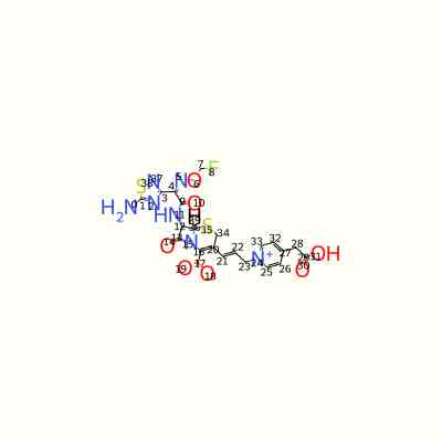 Nc1nc(/C(=N/OCF)C(=O)N[C@@H]2C(=O)N3C(C(=O)[O-])=C(/C=C/C[n+]4ccc(CC(=O)O)cc4)CS[C@@H]23)ns1